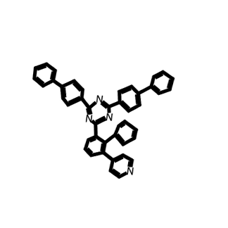 c1ccc(-c2ccc(-c3nc(-c4ccc(-c5ccccc5)cc4)nc(-c4cccc(-c5ccncc5)c4-c4ccccc4)n3)cc2)cc1